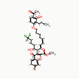 CCCc1c(OCCCC/C=C\C=C\[C@@H](c2c(C(=O)OC)oc3c(c2=O)=CCC(=S)C=3)[C@H](O)CCCC(F)(F)F)ccc(C(C)=O)c1O